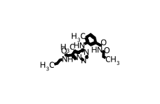 CCCNC(=O)c1cn2ncnc(Nc3cc(C(=O)NC(=O)CC)ccc3C)c2c1C